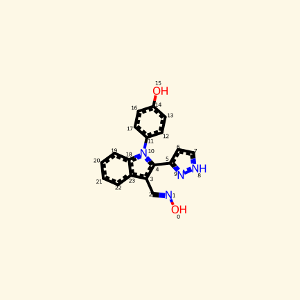 ON=Cc1c(-c2cc[nH]n2)n(-c2ccc(O)cc2)c2ccccc12